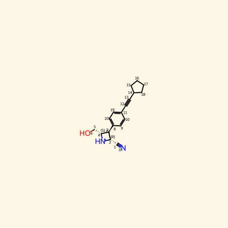 N#C[C@@H]1N[C@H](CO)[C@H]1c1ccc(C#CC2CCCC2)cc1